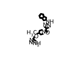 CC(OC/C(C=N)=N/N)C1CCN(C(=O)c2cnc(NC3Cc4ccccc4C3)nc2)CC1